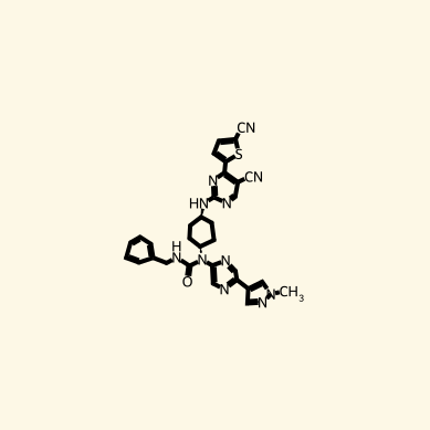 Cn1cc(-c2cnc(N(C(=O)NCc3ccccc3)[C@H]3CC[C@H](Nc4ncc(C#N)c(-c5ccc(C#N)s5)n4)CC3)cn2)cn1